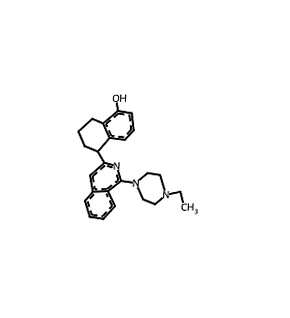 CCN1CCN(c2nc(C3CCCc4c(O)cccc43)cc3ccccc23)CC1